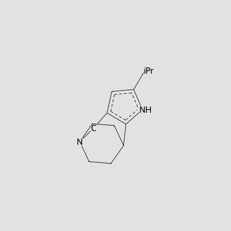 CC(C)c1cc2c([nH]1)C1CCN(CC1)C2